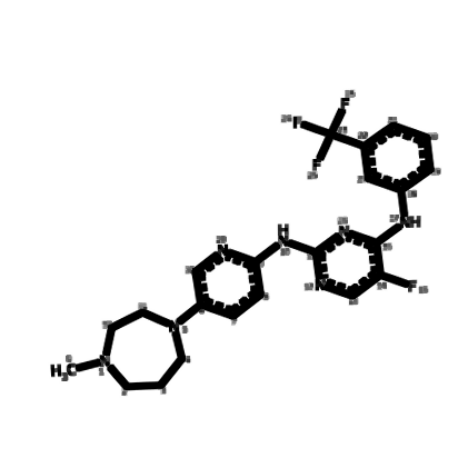 CN1CCCN(c2ccc(Nc3ncc(F)c(Nc4cccc(C(F)(F)F)c4)n3)nc2)CC1